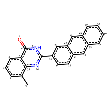 Cc1cccc2c(=O)[nH]c(-c3ccc4cc5ccccc5cc4c3)nc12